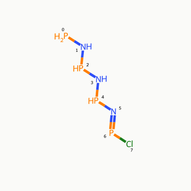 PNPNPN=PCl